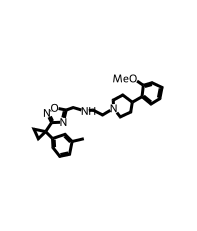 COc1ccccc1C1CCN(CCNCc2nc(C3(c4cccc(C)c4)CC3)no2)CC1